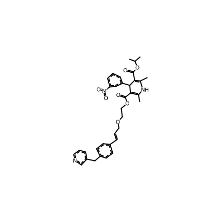 CC1=C(C(=O)OCCOCC=Cc2ccc(Cc3cccnc3)cc2)C(c2cccc([N+](=O)[O-])c2)C(C(=O)OC(C)C)=C(C)N1